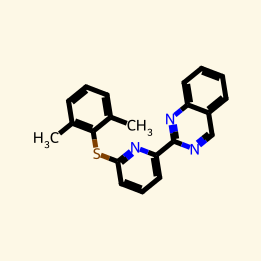 Cc1cccc(C)c1Sc1cccc(-c2ncc3ccccc3n2)n1